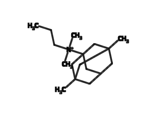 CCC[N+](C)(C)C12CC3CC(C)(CC(C)(C3)C1)C2